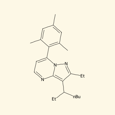 CCCCC(CC)c1c(CC)nn2c(-c3c(C)cc(C)cc3C)ccnc12